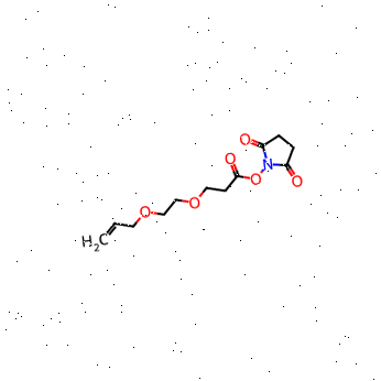 C=CCOCCOCCC(=O)ON1C(=O)CCC1=O